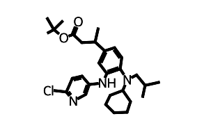 CC(C)CN(c1ccc(C(C)CC(=O)OC(C)(C)C)cc1Nc1ccc(Cl)nc1)C1CCCCC1